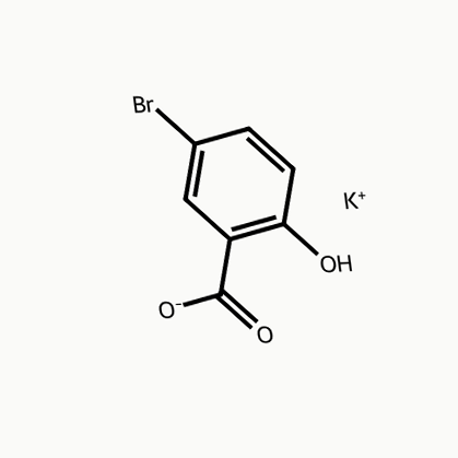 O=C([O-])c1cc(Br)ccc1O.[K+]